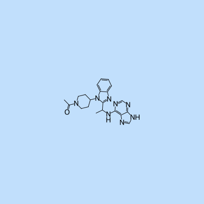 CC(=O)N1CCC(n2c(C(C)Nc3ncnc4[nH]cnc34)nc3ccccc32)CC1